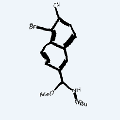 CCCCNC(OC)c1ccc2c(Br)c(C#N)ccc2c1